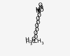 CC(C)(C)CCOCCOCCOCCOCCOCCOCCOCCn1cc(CN2C(=O)C=CC2=O)nn1